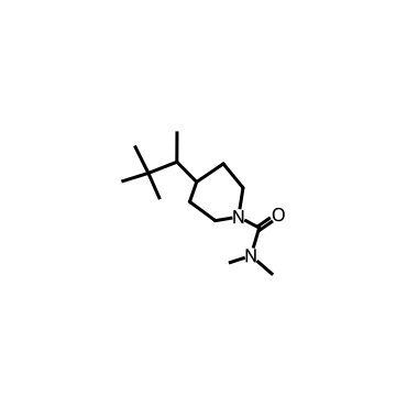 CC(C1CCN(C(=O)N(C)C)CC1)C(C)(C)C